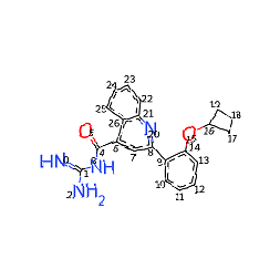 N=C(N)NC(=O)c1cc(-c2ccccc2OC2CCC2)nc2ccccc12